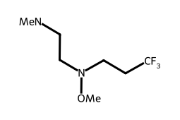 CNCCN(CCC(F)(F)F)OC